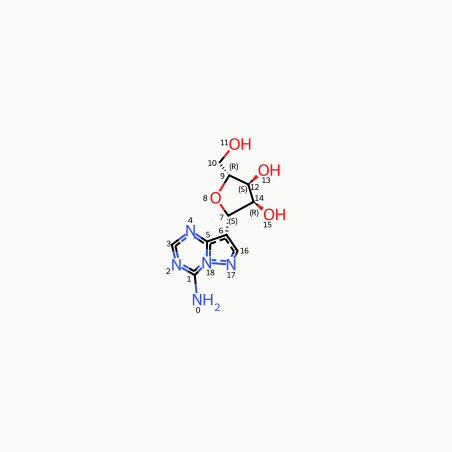 Nc1ncnc2c([C@@H]3O[C@H](CO)[C@@H](O)[C@H]3O)cnn12